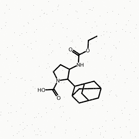 CCOC(=O)NC1CCN(C(=O)O)C1C1C2CC3CC(C2)CC1C3